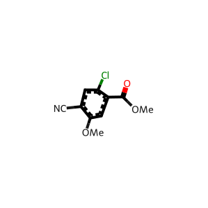 COC(=O)c1cc(OC)c(C#N)cc1Cl